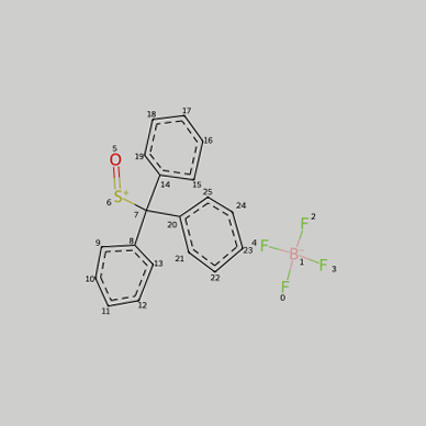 F[B-](F)(F)F.O=[S+]C(c1ccccc1)(c1ccccc1)c1ccccc1